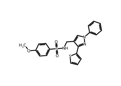 COc1ccc(S(=O)(=O)NCc2cn(-c3ccccc3)nc2-c2cccs2)cc1